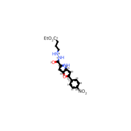 CCOC(=O)CCCNNC(=O)c1cc2oc(-c3ccc([N+](=O)[O-])cc3)cc2[nH]1